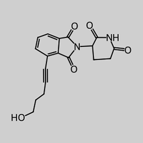 O=C1CCC(N2C(=O)c3cccc(C#CCCCO)c3C2=O)C(=O)N1